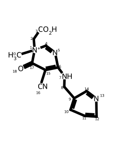 C[N+]1(CC(=O)O)C=NC(NCc2cccnc2)=C(C#N)C1=O